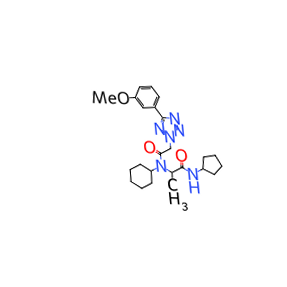 COc1cccc(-c2nnn(CC(=O)N(C3CCCCC3)C(C)C(=O)NC3CCCC3)n2)c1